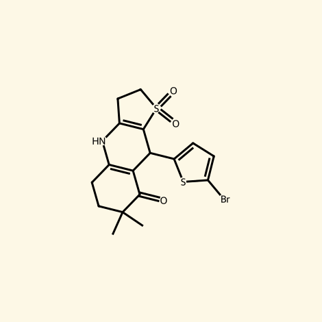 CC1(C)CCC2=C(C1=O)C(c1ccc(Br)s1)C1=C(CCS1(=O)=O)N2